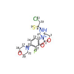 O=C1OCC[N+]1(CNC(=S)CCl)c1ccc(N2CCOCC2)c(F)c1